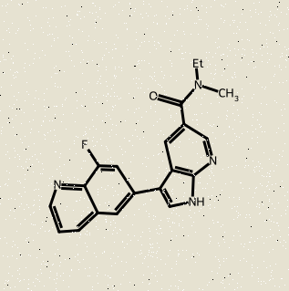 CCN(C)C(=O)c1cnc2[nH]cc(-c3cc(F)c4ncccc4c3)c2c1